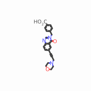 O=C(O)c1ccc(Cn2cnc3ccc(C#CCN4CCOCC4)cc3c2=O)cc1